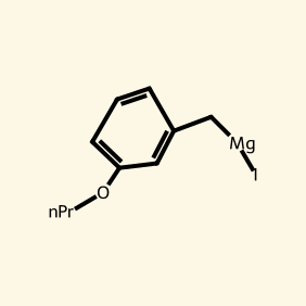 CCCOc1cccc([CH2][Mg][I])c1